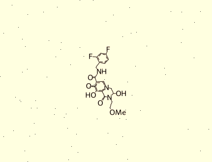 COCCN1C(=O)c2c(O)c(=O)c(C(=O)NCc3ccc(F)cc3F)cn2CC1O